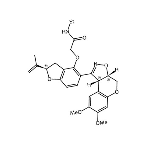 C=C(C)[C@H]1Cc2c(ccc(C3=NO[C@@H]4COc5cc(OC)c(OC)cc5[C@H]34)c2OCC(=O)NCC)O1